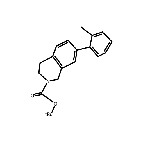 Cc1ccccc1-c1ccc2c(c1)CN(C(=O)OC(C)(C)C)CC2